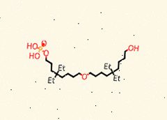 CCC(CC)(CCCCO)CCCCOCCCCC(CC)(CC)CCCOP(=O)(O)O